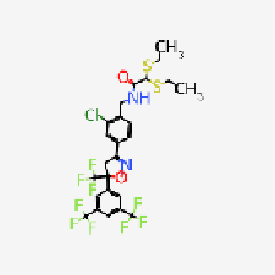 CCSC(SCC)C(=O)NCc1ccc(C2=NOC(c3cc(C(F)(F)F)cc(C(F)(F)F)c3)(C(F)(F)F)C2)cc1Cl